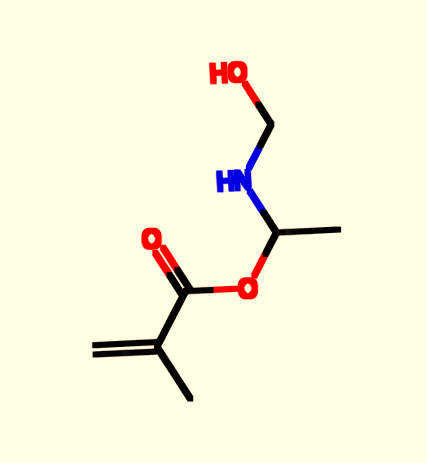 C=C(C)C(=O)OC(C)NCO